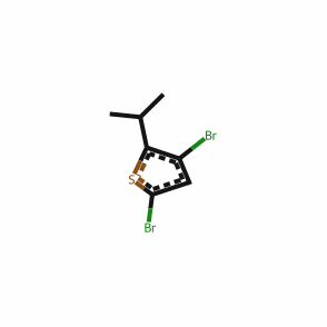 CC(C)c1sc(Br)cc1Br